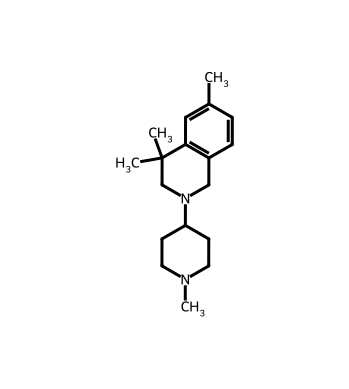 Cc1ccc2c(c1)C(C)(C)CN(C1CCN(C)CC1)C2